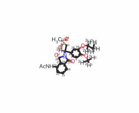 [2H]C([2H])([2H])Oc1ccc([C@@]([2H])(CS(C)(=O)=O)N2C(=O)c3cccc(NC(C)=O)c3C2=O)cc1OC([2H])([2H])C([2H])([2H])[2H]